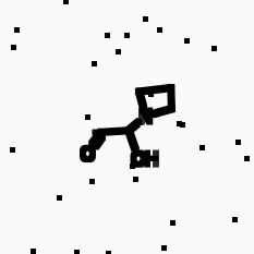 O=[C]C(O)N1CCC1